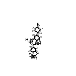 N=S1(=O)CCc2cc(C(=O)Nc3ccc(-c4ccc(F)cc4)cc3N)ccc21